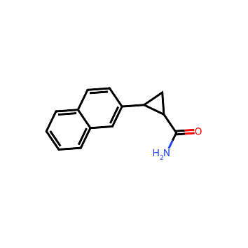 NC(=O)C1CC1c1ccc2ccccc2c1